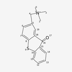 C[N+](C)(C)Cc1ccc2sc3ccccc3c(=O)c2c1